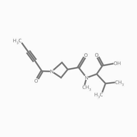 CC#CC(=O)N1CC(C(=O)N(C)C(C(=O)O)C(C)C)C1